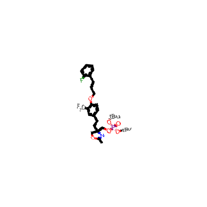 CC1=NC(CCc2ccc(OCCCc3ccccc3F)c(C(F)(F)F)c2)(COP(=O)(OC(C)(C)C)OC(C)(C)C)CO1